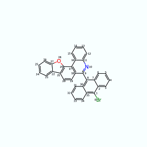 Brc1c2ccccc2c(-c2nc3ccccc3c3c2ccc2c4ccccc4oc23)c2ccccc12